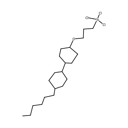 CCCCCCC1CCC(C2CCC(OCCC[Si](Cl)(Cl)Cl)CC2)CC1